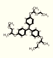 CCOC(C)Oc1ccc(C(c2ccc(OC(C)COC)cc2)c2ccc(OC(C)OCC)cc2)cc1